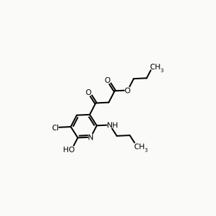 CCCNc1nc(O)c(Cl)cc1C(=O)CC(=O)OCCC